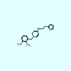 Cc1c(N)cccc1CN1C=CC(NCCc2cccs2)=CC1